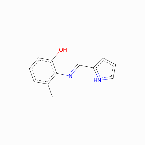 Cc1cccc(O)c1/N=C/c1ccc[nH]1